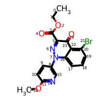 CCOC(=O)c1nn(-c2ccc(OC)nc2)c2cccc(Br)c2c1=O